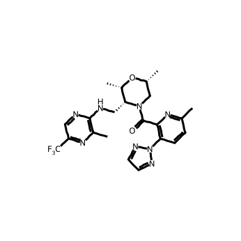 Cc1ccc(-n2nccn2)c(C(=O)N2C[C@@H](C)O[C@@H](C)[C@H]2CNc2ncc(C(F)(F)F)nc2C)n1